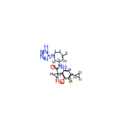 CC1CCN(c2nnn[nH]2)CC(NC(=O)C2(c3ccc(C4CC4)c(F)c3O)CC2)C1